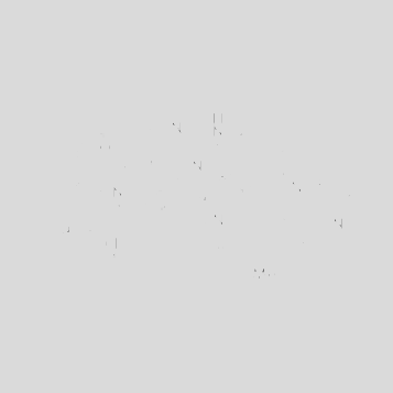 COCC1CN(c2ccc(Nc3ncc4c(n3)SCN(c3c(Cl)cccc3Cl)C4=O)cc2CN(C)C)CCN1